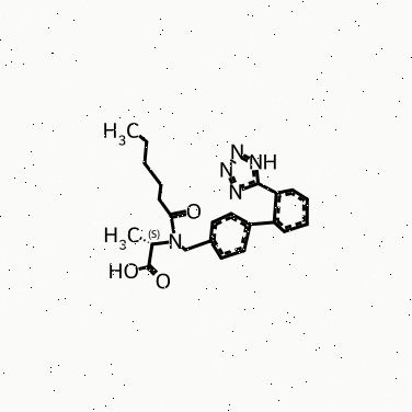 CCCCCC(=O)N(Cc1ccc(-c2ccccc2-c2nnn[nH]2)cc1)[C@@H](C)C(=O)O